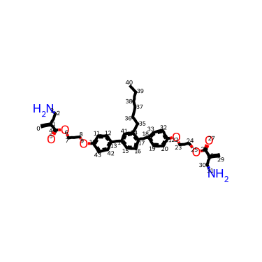 C=C(CN)C(=O)OCCOc1ccc(-c2ccc(-c3ccc(OCCOC(=O)C(=C)CN)cc3)c(CCCCCC)c2)cc1